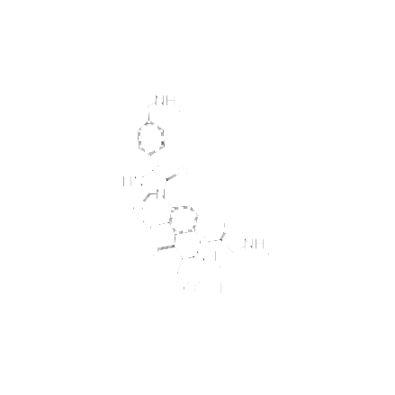 CC(=O)c1c(N2C(=O)N[C@H](c3ccc(CN)cc3)C2=O)ccc(OC(=O)CN)c1C(=O)[C@@H](N)CC(=O)O